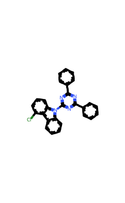 Clc1cccc2c1c1ccccc1n2-c1nc(-c2ccccc2)nc(-c2ccccc2)n1